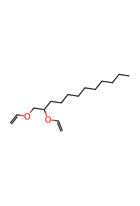 C=COCC(CCCCCCCCCC)OC=C